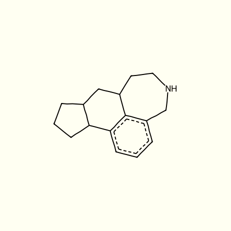 c1cc2c3c(c1)C1CCCC1CC3CCNC2